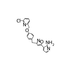 Nc1ncccc1-c1cc(Cc2ccc(OCc3cccc(Cl)n3)cc2)no1